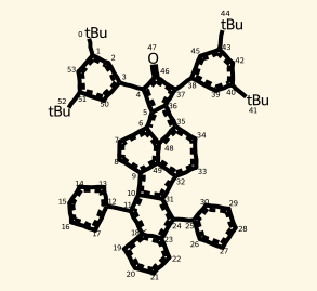 CC(C)(C)c1cc(-c2c3c4ccc5c6c(-c7ccccc7)c7ccccc7c(-c7ccccc7)c6c6ccc(c-3c(-c3cc(C(C)(C)C)cc(C(C)(C)C)c3)c2=O)c4c56)cc(C(C)(C)C)c1